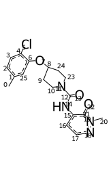 Cc1ccc(Cl)c(OC2CCN(C(=O)Nc3ccnn(C)c3=O)CC2)c1